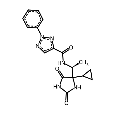 C[C@H](NC(=O)c1cnn(-c2ccccc2)n1)C1(C2CC2)NC(=O)NC1=O